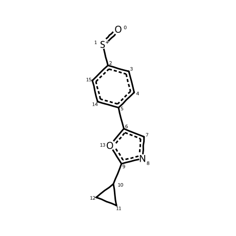 O=[S+]c1ccc(-c2cnc(C3CC3)o2)cc1